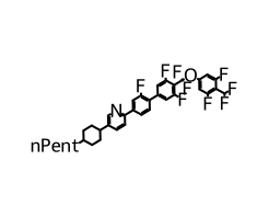 CCCCCC1CCC(c2ccc(-c3ccc(-c4cc(F)c(C(F)(F)Oc5cc(F)c(C(F)F)c(F)c5)c(F)c4)c(F)c3)nc2)CC1